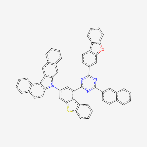 c1ccc2cc(-c3nc(-c4ccc5c(c4)oc4ccccc45)nc(-c4cc(-n5c6cc7ccccc7cc6c6c7ccccc7ccc65)cc5sc6ccccc6c45)n3)ccc2c1